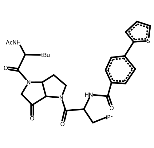 CC(=O)NC(C(=O)N1CC(=O)C2C1CCN2C(=O)C(CC(C)C)NC(=O)c1ccc(-c2cccs2)cc1)C(C)(C)C